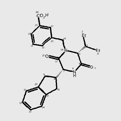 CCC(CC)[C@@H]1C(=O)N[C@H](C2Cc3ccccc3C2)C(=O)N1Cc1cccc(C(=O)O)c1